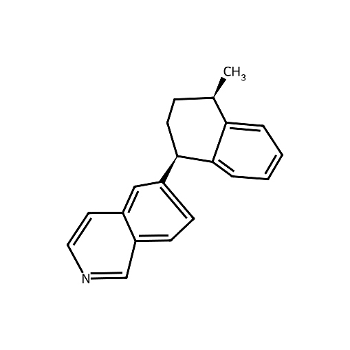 C[C@@H]1CC[C@H](c2ccc3cnccc3c2)c2ccccc21